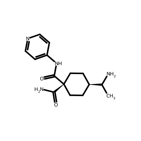 CC(N)[C@H]1CC[C@](C(N)=O)(C(=O)Nc2ccncc2)CC1